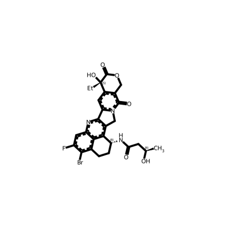 CC[C@@]1(O)C(=O)OCc2c1cc1n(c2=O)Cc2c-1nc1cc(F)c(Br)c3c1c2[C@H](NC(=O)C[C@@H](C)O)CC3